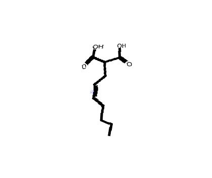 CCCC/C=C\CC(C(=O)O)C(=O)O